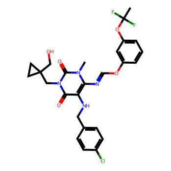 Cn1c(/N=C/Oc2cccc(OC(C)(F)F)c2)c(NCc2ccc(Cl)cc2)c(=O)n(CC2(CO)CC2)c1=O